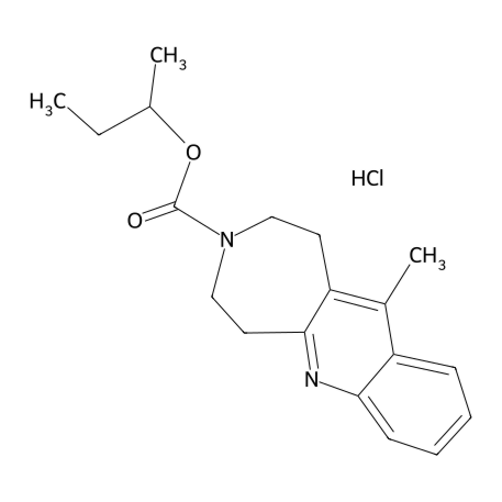 CCC(C)OC(=O)N1CCc2nc3ccccc3c(C)c2CC1.Cl